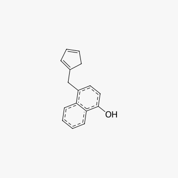 Oc1ccc(CC2=CC=CC2)c2ccccc12